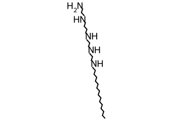 CCCCCCCCCCCCCCCCNCCCNCCCNCCCCNCCCN